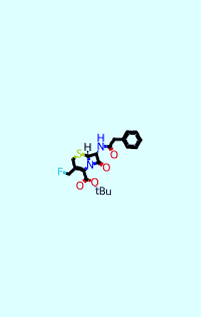 CC(C)(C)OC(=O)C1=C(CF)CS[C@H]2[C@H](NC(=O)Cc3ccccc3)C(=O)N12